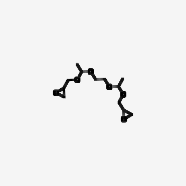 CC(OCCOC(C)OCC1CO1)OCC1CO1